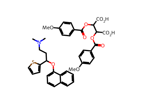 CN(C)CCC(Oc1cccc2ccccc12)c1cccs1.COc1ccc(C(=O)OC(C(=O)O)C(OC(=O)c2ccc(OC)cc2)C(=O)O)cc1